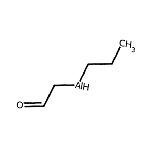 CC[CH2][AlH][CH2]C=O